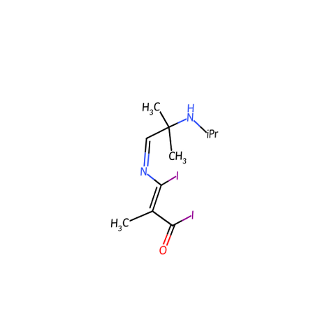 C/C(C(=O)I)=C(I)\N=C/C(C)(C)NC(C)C